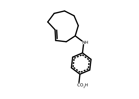 O=C(O)c1ccc(NC2C/C=C/CCCCC2)cc1